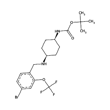 CC(C)(C)OC(=O)N[C@H]1CC[C@@H](NCc2ccc(Br)cc2OC(F)(F)F)CC1